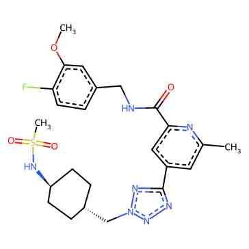 COc1cc(CNC(=O)c2cc(-c3nnn(C[C@H]4CC[C@H](NS(C)(=O)=O)CC4)n3)cc(C)n2)ccc1F